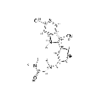 CN1CCN(Cc2cncc(-c3c(C#N)c4ccc(Cl)cc4n3C)c2)CC1=O